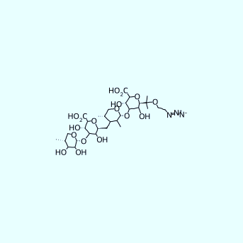 CC1C(C[C@@H]2OC(C(=O)O)[C@@H](O)C(O[C@H]3OC[C@@H](C)C(O)C3O)C2O)[C@H](C)CO[C@@H]1OC1C(O)[C@H](C(C)(C)OCCN=[N+]=[N-])OC(C(=O)O)[C@H]1O